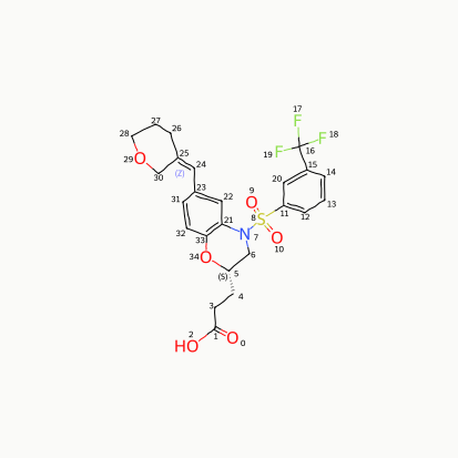 O=C(O)CC[C@H]1CN(S(=O)(=O)c2cccc(C(F)(F)F)c2)c2cc(/C=C3/CCCOC3)ccc2O1